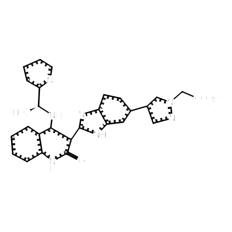 CCOC(=O)Cn1cc(-c2ccc3nc(-c4c(N[C@@H](C)c5ccccn5)c5ccccc5[nH]c4=O)[nH]c3c2)cn1